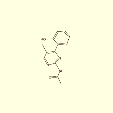 CC(=O)Nc1ncc(C)c(-c2ccccc2O)n1